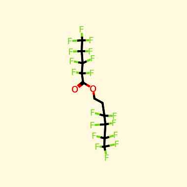 O=C(OCCC(F)(F)C(F)(F)C(F)(F)C(F)(F)F)C(F)(F)C(F)(F)C(F)(F)C(F)(F)F